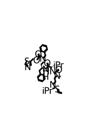 C=CS/C(=N\CCN(C)C(=O)N[C@H](C(=O)N[C@H](CCN(Cc1ccccc1)C(=O)OCc1cncs1)Cc1ccccc1)C(C)C)C(C)C